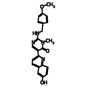 COc1ccc(CNc2ncc(-c3ccc4cc(O)ccc4n3)c(=O)n2C)cc1